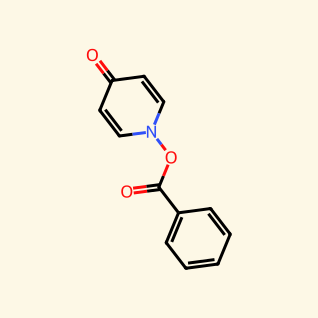 O=C(On1ccc(=O)cc1)c1ccccc1